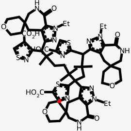 CCn1nc(C(c2nc(C(=O)O)cs2)C(C)(C)CC(c2ncc(C(=O)O)s2)(c2nn(CC)c3c2CC2(CCOCC2)CNC3=O)C(C)(C)[CH]CC(C)(C)C(c2nscc2C(=O)O)c2nn(CC)c3c2CC2(CCOCC2)CNC3=O)c2c1C(=O)NCC1(CCOCC1)C2